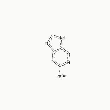 CC(=O)Nc1cc2nc[nH]c2cn1